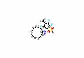 CC(C)c1c(F)c(F)c(S(C)(=O)=O)c(NC2CCCCCCCCCCC2)c1F